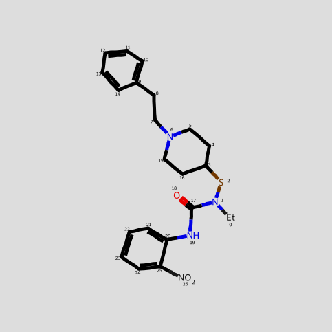 CCN(SC1CCN(CCc2ccccc2)CC1)C(=O)Nc1ccccc1[N+](=O)[O-]